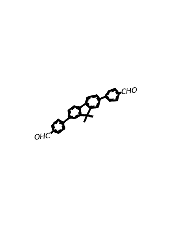 CC1(C)c2cc(-c3ccc(C=O)cc3)ccc2-c2ccc(-c3ccc(C=O)cc3)cc21